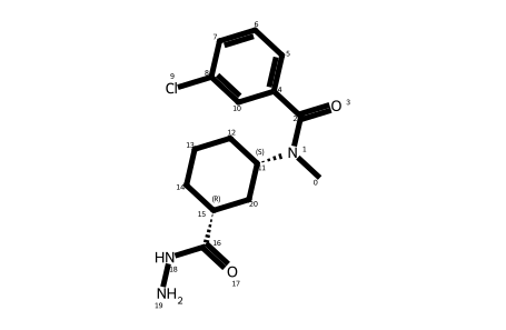 CN(C(=O)c1cccc(Cl)c1)[C@H]1CCC[C@@H](C(=O)NN)C1